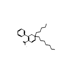 CCCCCCCC1(CCCCC)C=CC(C(=O)O)=C(c2ccccc2)C1